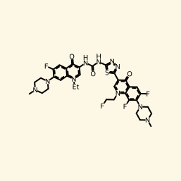 CCn1cc(NC(=O)Nc2nnc(-c3cn(CCF)c4c(F)c(N5CCN(C)CC5)c(F)cc4c3=O)s2)c(=O)c2cc(F)c(N3CCN(C)CC3)cc21